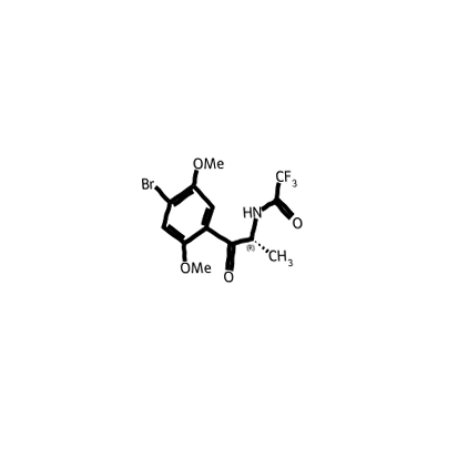 COc1cc(C(=O)[C@@H](C)NC(=O)C(F)(F)F)c(OC)cc1Br